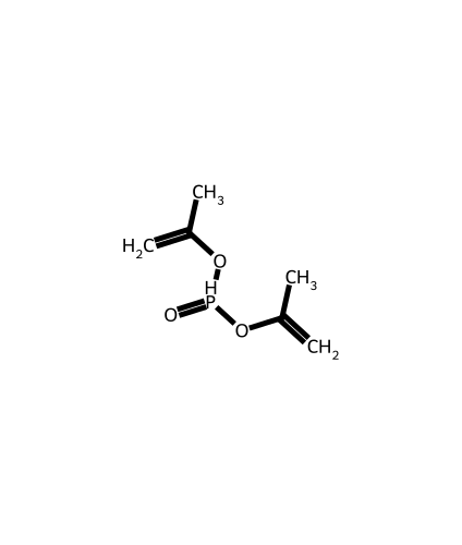 C=C(C)O[PH](=O)OC(=C)C